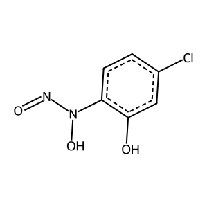 O=NN(O)c1ccc(Cl)cc1O